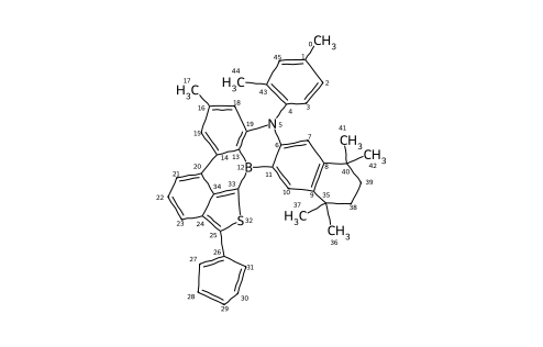 Cc1ccc(N2c3cc4c(cc3B3c5c(cc(C)cc52)-c2cccc5c(-c6ccccc6)sc3c25)C(C)(C)CCC4(C)C)c(C)c1